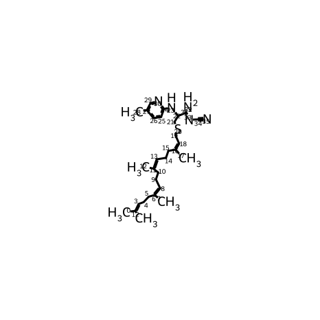 CC(C)=CCCC(C)=CCCC(C)=CCCC(C)=CCSCC(Nc1ccc(C)cn1)/C(N)=N/C#N